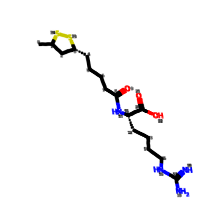 CC1C[C@@H](CCCCC(=O)N[C@@H](CCCCNC(=N)N)C(=O)O)SS1